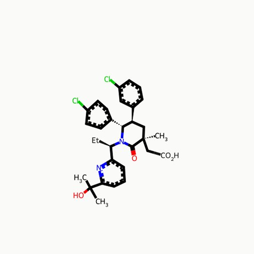 CC[C@H](c1cccc(C(C)(C)O)n1)N1C(=O)[C@](C)(CC(=O)O)C[C@H](c2cccc(Cl)c2)[C@H]1c1ccc(Cl)cc1